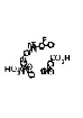 O=C(O)C1(C(=O)NC2CCCCC2)CCN(Cc2ccc(-c3noc(-c4ccc(-c5ccccc5)c(F)c4)n3)cc2)CC1.O=C(O)C1CCN(C(=O)N2CCCC2)CC1